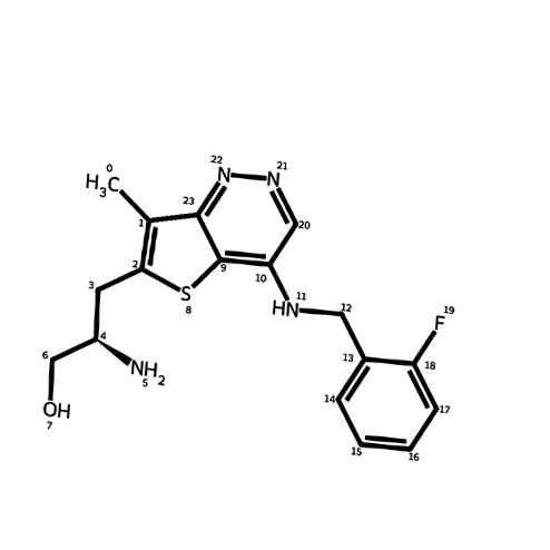 Cc1c(C[C@@H](N)CO)sc2c(NCc3ccccc3F)cnnc12